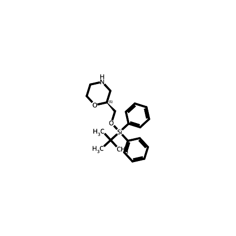 CC(C)(C)[Si](OC[C@@H]1CNCCO1)(c1ccccc1)c1ccccc1